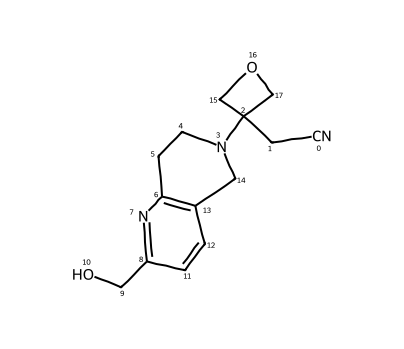 N#CCC1(N2CCc3nc(CO)ccc3C2)COC1